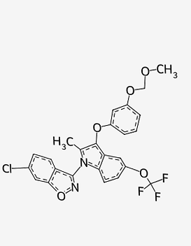 COCOc1cccc(Oc2c(C)n(-c3noc4cc(Cl)ccc34)c3ccc(OC(F)(F)F)cc23)c1